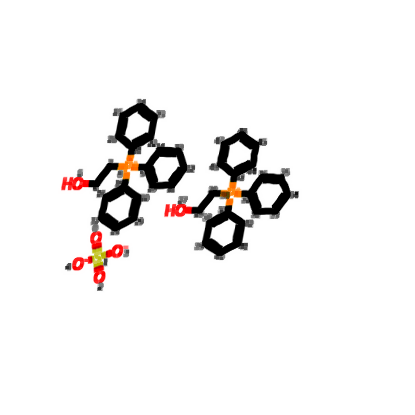 O=S(=O)([O-])[O-].OCC[P+](c1ccccc1)(c1ccccc1)c1ccccc1.OCC[P+](c1ccccc1)(c1ccccc1)c1ccccc1